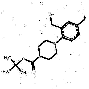 CC(C)(C)OC(=O)N1CCN(c2ccc(F)cc2CO)CC1